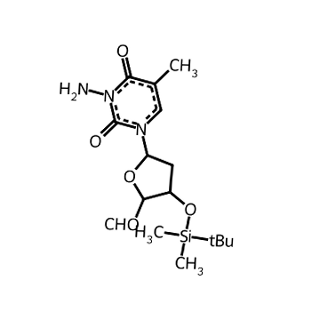 Cc1cn(C2CC(O[Si](C)(C)C(C)(C)C)C(C=O)O2)c(=O)n(N)c1=O